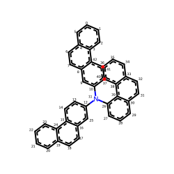 c1ccc2c(c1)ccc1cc(N(c3ccc4c(ccc5ccccc54)c3)c3cccc4ccc5ccccc5c34)ccc12